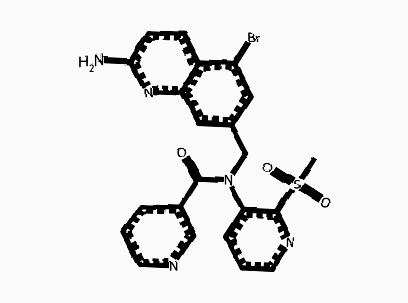 CS(=O)(=O)c1ncccc1N(Cc1cc(Br)c2ccc(N)nc2c1)C(=O)c1cccnc1